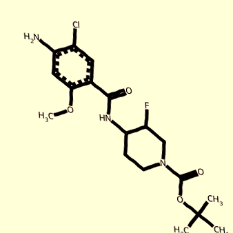 COc1cc(N)c(Cl)cc1C(=O)NC1CCN(C(=O)OC(C)(C)C)CC1F